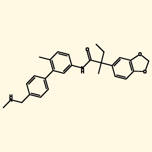 CCC(C)(C(=O)Nc1ccc(C)c(-c2ccc(CNC)cc2)c1)c1ccc2c(c1)OCO2